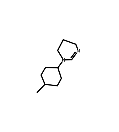 CC1CCC(N2C=NCCC2)CC1